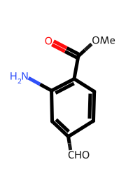 COC(=O)c1ccc(C=O)cc1N